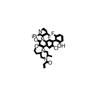 C=CC(=O)N1CC2CCOc3c(c4cc(Cl)c(-c5c(O)cccc5F)c(F)c4n(-c4c(C)ccnc4C(C)C)c3=O)N2CC1C